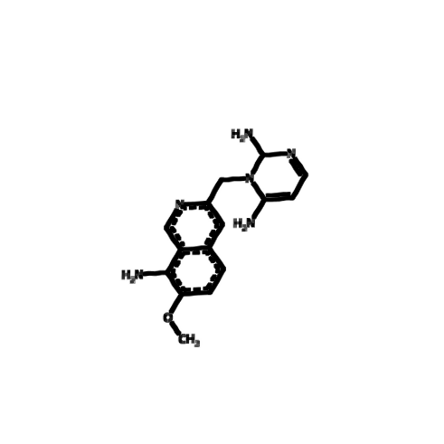 COc1ccc2cc(CN3C(N)=CC=NC3N)ncc2c1N